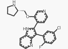 Fc1ccc(Cl)cc1-c1c(-c2ccncc2OC[C@@H]2CCCN2)[nH]c2cccnc12